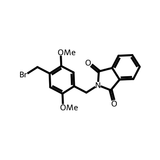 COc1cc(CN2C(=O)c3ccccc3C2=O)c(OC)cc1CBr